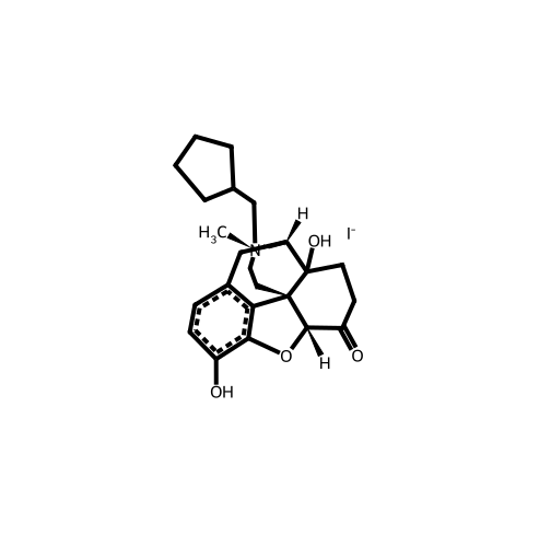 C[N@+]1(CC2CCCC2)CC[C@]23c4c5ccc(O)c4O[C@H]2C(=O)CCC3(O)[C@H]1C5.[I-]